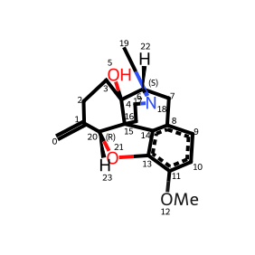 C=C1CCC2(O)[C@@H]3Cc4ccc(OC)c5c4C2(CCN3C)[C@@H]1O5